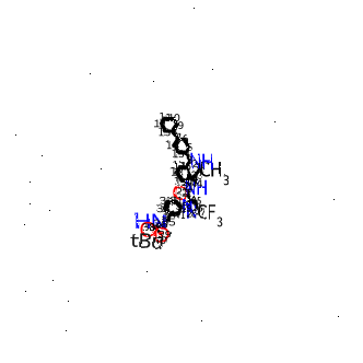 CC(NC(c1ccc(-c2ccccc2)cc1)c1cccc(NC(=O)c2cc(C(F)(F)F)nn2-c2cccc(CNC(=O)OC(C)(C)C)c2)c1)C1CC1